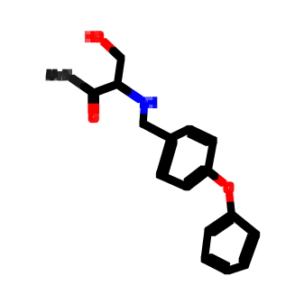 CNC(=O)C(CO)NCc1ccc(Oc2ccccc2)cc1